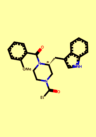 CCC(=O)N1CCN(C(=O)c2ccccc2OC)[C@H](Cc2c[nH]c3ccccc23)C1